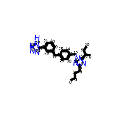 CCCCc1nc(C(C)CC)n(Cc2ccc(Cc3cccc(-c4nnn[nH]4)c3)cc2)n1